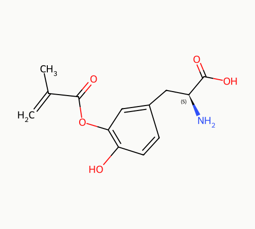 C=C(C)C(=O)Oc1cc(C[C@H](N)C(=O)O)ccc1O